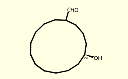 O=CC1CCCCCCCCCC[C@H](O)CCC1